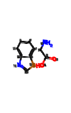 NCC(=O)O.c1ccc2scnc2c1